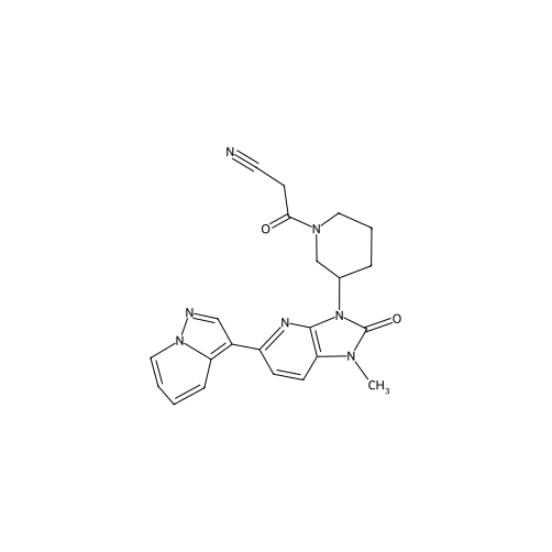 Cn1c(=O)n(C2CCCN(C(=O)CC#N)C2)c2nc(-c3cnn4ccccc34)ccc21